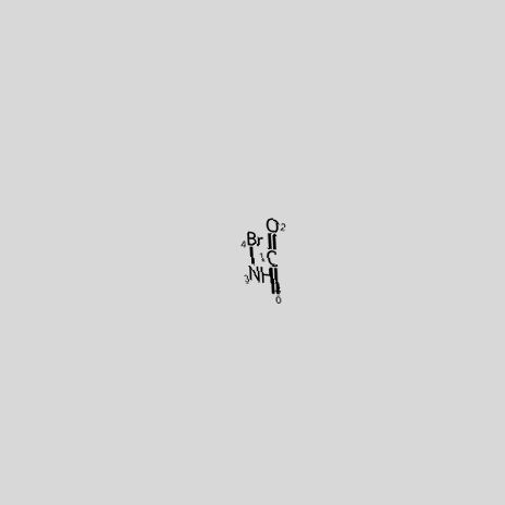 C=C=O.NBr